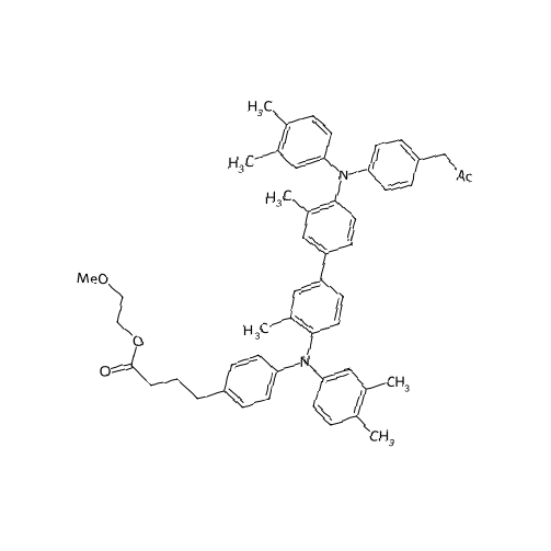 COCCOC(=O)CCCc1ccc(N(c2ccc(C)c(C)c2)c2ccc(-c3ccc(N(c4ccc(CC(C)=O)cc4)c4ccc(C)c(C)c4)c(C)c3)cc2C)cc1